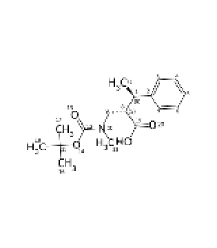 C[C@@H](c1ccccc1)[C@@H](CN(C)C(=O)OC(C)(C)C)C(=O)O